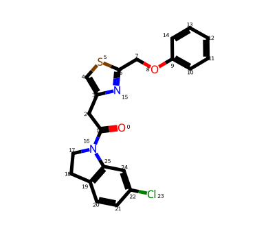 O=C(Cc1csc(COc2ccccc2)n1)N1CCc2ccc(Cl)cc21